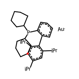 CC(C)c1cc(C(C)C)c(-c2ccccc2P(C2CCCCC2)C2CCCCC2)c(C(C)C)c1.[Au]